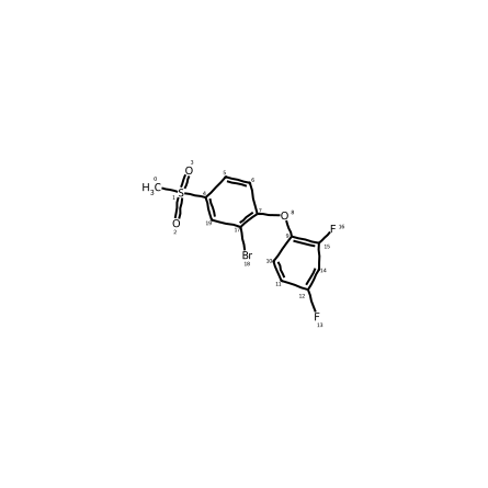 CS(=O)(=O)c1ccc(Oc2ccc(F)cc2F)c(Br)c1